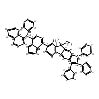 CC1(C)c2cc(-c3ccc(N(c4ccccc4)c4cccc5ccccc45)c4ccccc34)ccc2-c2cc3c(-c4ccccc4)c(-c4ccccc4)n(-c4ccccc4)c3cc21